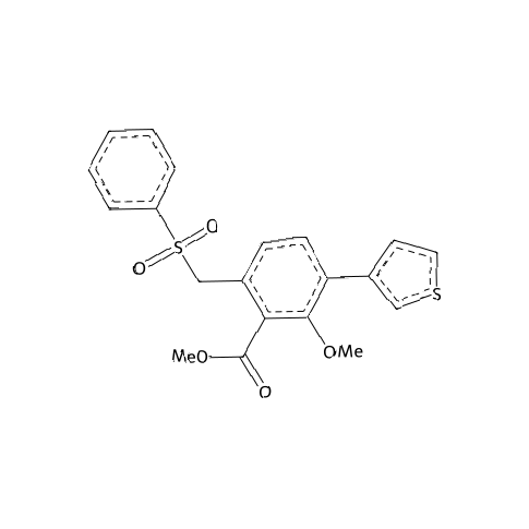 COC(=O)c1c(CS(=O)(=O)c2ccccc2)ccc(-c2ccsc2)c1OC